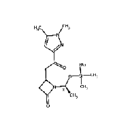 Cc1cc(C(=O)CC2CC(=O)N2[C@H](C)O[Si](C)(C)C(C)(C)C)nn1C